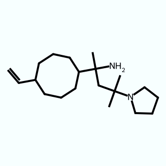 C=CC1CCCC(C(C)(N)CC(C)(C)N2CCCC2)CCC1